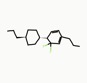 CCCC1=CC(F)(F)C([C@H]2CC[C@H](CCC)CC2)C=C1